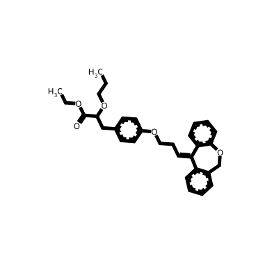 CCCOC(Cc1ccc(OCCC=C2c3ccccc3COc3ccccc32)cc1)C(=O)OCC